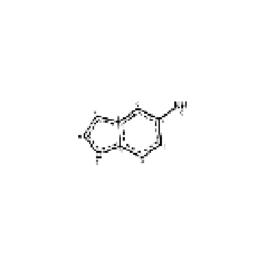 [NH]c1ccc2occc2c1